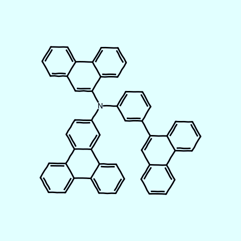 c1cc(-c2cc3ccccc3c3ccccc23)cc(N(c2ccc3c4ccccc4c4ccccc4c3c2)c2cc3ccccc3c3ccccc23)c1